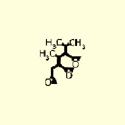 CC(C)C(C1CO1)C(C)C(CC1CO1)C1CO1